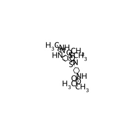 Cc1cc(Nc2ccc(-c3cnc([C@H]4CC[C@H](NC(=O)OC(C)C)CC4)s3)c(S(=O)(=O)C(C)C)c2)n[nH]1